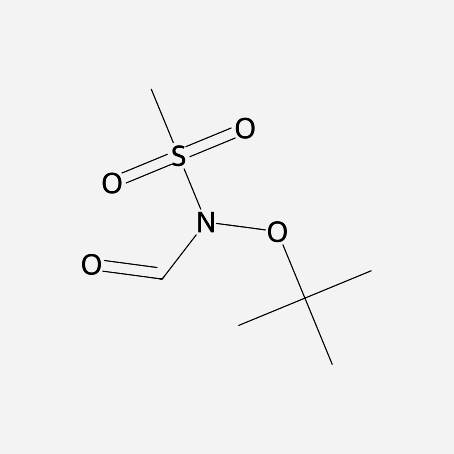 CC(C)(C)ON(C=O)S(C)(=O)=O